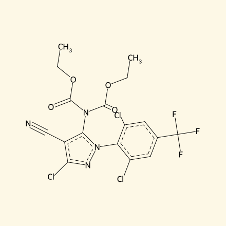 CCOC(=O)N(C(=O)OCC)c1c(C#N)c(Cl)nn1-c1c(Cl)cc(C(F)(F)F)cc1Cl